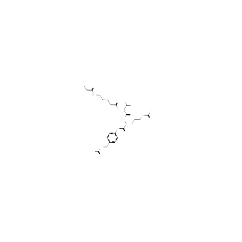 CC(=O)OCc1ccc(NC(=O)[C@@H](CCCNC(N)=O)NC(=O)[C@H](NC(=O)CCCCNC(=O)CI)C(C)C)cc1